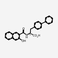 O=C(N[C@@H](Cc1ccc(-c2ccccc2)cc1)C(=O)O)c1cc2ccccc2cc1O